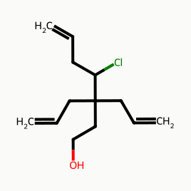 C=CCC(Cl)C(CC=C)(CC=C)CCO